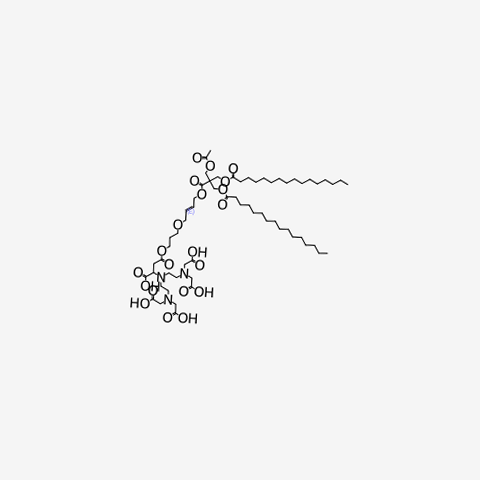 CCCCCCCCCCCCCCCC(=O)OCC(COC(C)=O)(COC(=O)CCCCCCCCCCCCCCC)C(=O)OC/C=C/COCCCOC(=O)CC(C(=O)O)N(CCN(CC(=O)O)CC(=O)O)CCN(CC(=O)O)CC(=O)O